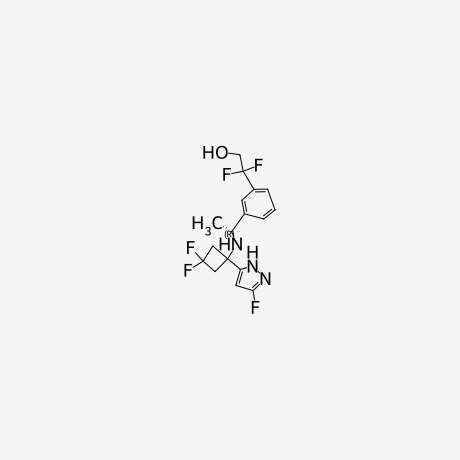 C[C@@H](NC1(c2cc(F)n[nH]2)CC(F)(F)C1)c1cccc(C(F)(F)CO)c1